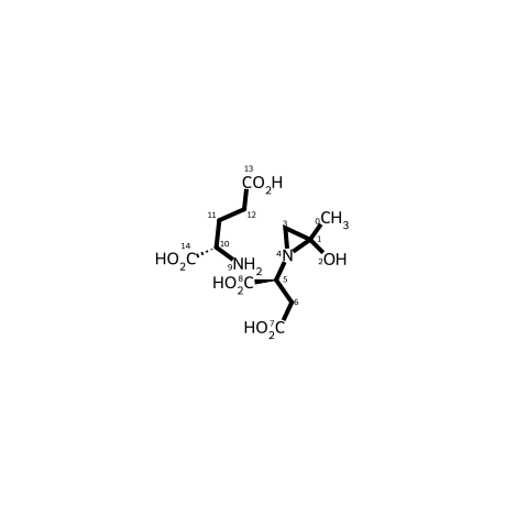 CC1(O)CN1[C@@H](CC(=O)O)C(=O)O.N[C@@H](CCC(=O)O)C(=O)O